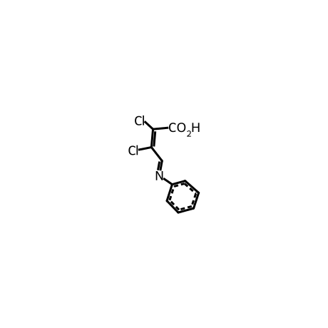 O=C(O)/C(Cl)=C(/Cl)C=Nc1ccccc1